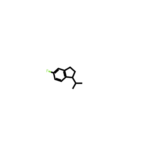 CC(C)C1CCc2cc(F)ccc21